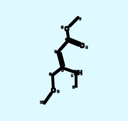 CN/C(=C\C(=O)OC)COC